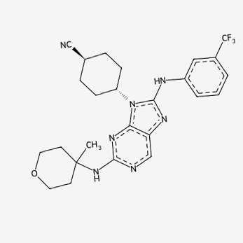 CC1(Nc2ncc3nc(Nc4cccc(C(F)(F)F)c4)n([C@H]4CC[C@H](C#N)CC4)c3n2)CCOCC1